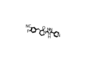 N#Cc1cc(C[C@@H]2CCCN(c3nnc(-c4ccncc4)[nH]3)C2=O)ccc1F